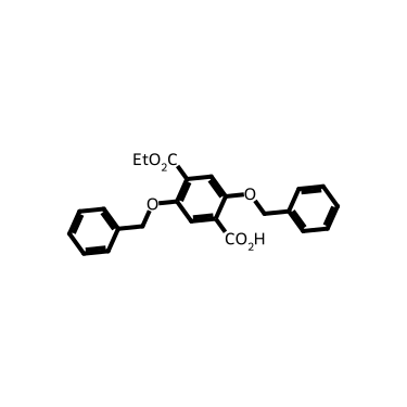 CCOC(=O)c1cc(OCc2ccccc2)c(C(=O)O)cc1OCc1ccccc1